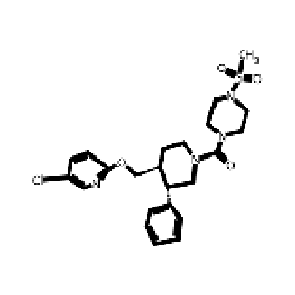 CS(=O)(=O)N1CCN(C(=O)N2CC[C@H](COc3ccc(Cl)cn3)[C@@H](c3ccccc3)C2)CC1